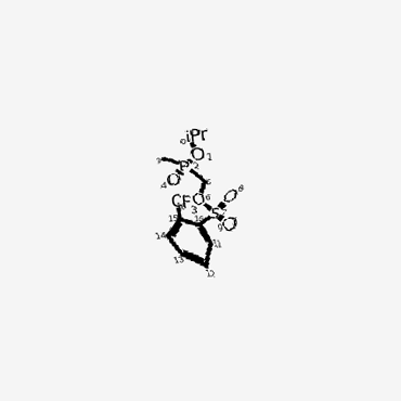 CC(C)OP(C)(=O)COS(=O)(=O)c1ccccc1C(F)(F)F